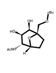 CCCCOC[C@@]12CC[C@@H](O1)[C@H](NC(C)=O)[C@@H](O)[C@H]2O